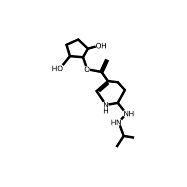 C=C(OC1C(O)CCC1O)C1=CNC(NNC(C)C)CC1